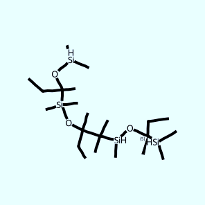 CCC(C)(O[Si](C)(C)C(C)(CC)O[SiH](C)C)C(C)(C)[SiH](C)O[C@](C)(CC)[SiH](C)C